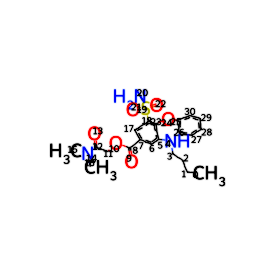 CCCCNc1cc(C(=O)OCC(=O)N(C)C)cc(S(N)(=O)=O)c1Oc1ccccc1